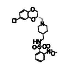 O=[N+]([O-])c1ccccc1S(=O)(=O)NCC1CCN(C[C@H]2COc3ccc(Cl)cc3O2)CC1